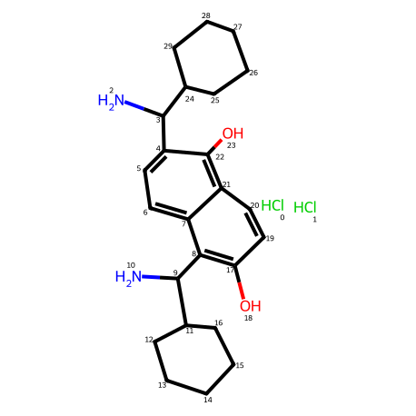 Cl.Cl.NC(c1ccc2c(C(N)C3CCCCC3)c(O)ccc2c1O)C1CCCCC1